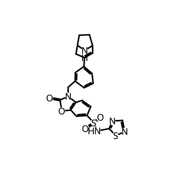 O=c1oc2cc(S(=O)(=O)Nc3ncns3)ccc2n1Cc1cccc(C2=CC3CCC(C2)N3)c1